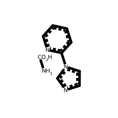 NC(=O)O.c1ccc(-n2ccnc2)nc1